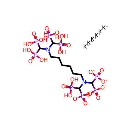 O=P([O-])([O-])C(N(CCCCCCN(C(P(=O)(O)O)P(=O)(O)O)C(P(=O)(O)O)P(=O)(O)O)C(P(=O)([O-])[O-])P(=O)(O)O)P(=O)([O-])[O-].[K+].[K+].[K+].[K+].[K+].[K+]